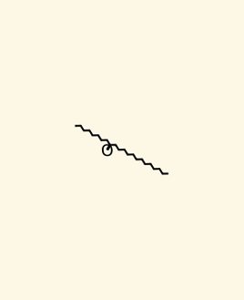 CCCCCCCCCCCCCC(=O)CCCCCCCC